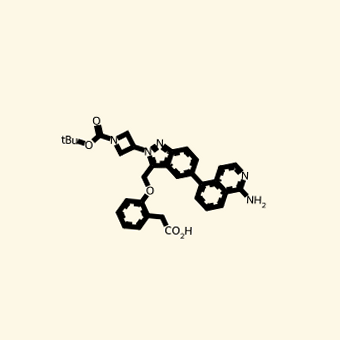 CC(C)(C)OC(=O)N1CC(n2nc3ccc(-c4cccc5c(N)nccc45)cc3c2COc2ccccc2CC(=O)O)C1